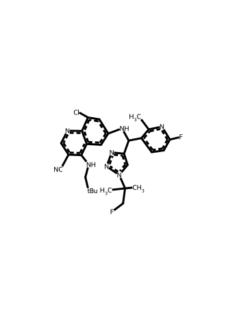 Cc1nc(F)ccc1C(Nc1cc(Cl)c2ncc(C#N)c(NCC(C)(C)C)c2c1)c1cn(C(C)(C)CF)nn1